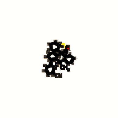 CC1(C)c2ccccc2C2(c3ccccc3Sc3ccccc32)c2cccc(-c3cccc(C#N)c3)c21